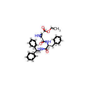 CCOC(=O)[C@H]1N[C@@H]1C(=O)N[C@@H](Cc1ccccc1)C(=O)NCC(c1ccccc1)c1ccccc1